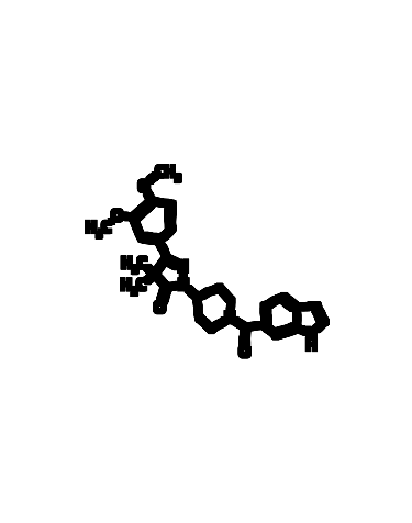 COc1ccc(C2=NN(C3CCN(C(=O)c4ccc5cc[nH]c5c4)CC3)C(=O)C2(C)C)cc1OC